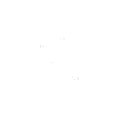 CC(C)CO[C@H]1C[C@H]1N